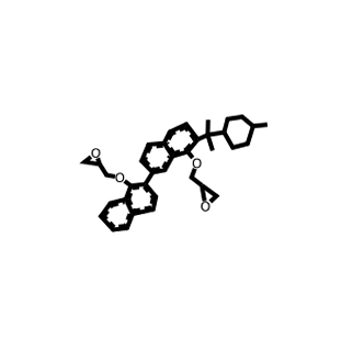 CC1CCC(C(C)(C)c2ccc3ccc(-c4ccc5ccccc5c4OCC4CO4)cc3c2OCC2CO2)CC1